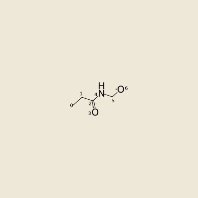 CCC(=O)NC[O]